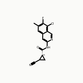 Cc1cc2cc(NC(=O)[C@@H]3CC3C#N)ncc2c(Cl)c1F